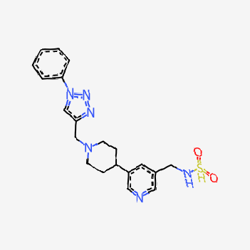 O=[SH](=O)NCc1cncc(C2CCN(Cc3cn(-c4ccccc4)nn3)CC2)c1